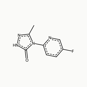 Cc1n[nH]c(=O)n1-c1ccc(F)cn1